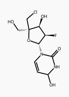 O=C1NC(O)C=CN1[C@@H]1O[C@@](CO)(CCl)[C@@H](O)[C@H]1F